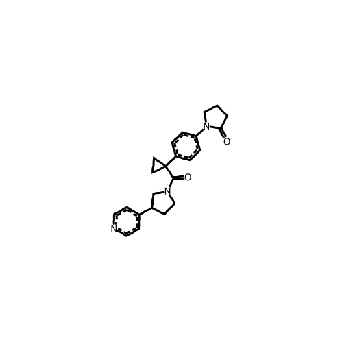 O=C1CCCN1c1ccc(C2(C(=O)N3CCC(c4ccncc4)C3)CC2)cc1